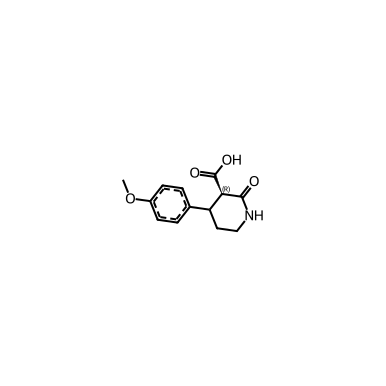 COc1ccc(C2CCNC(=O)[C@@H]2C(=O)O)cc1